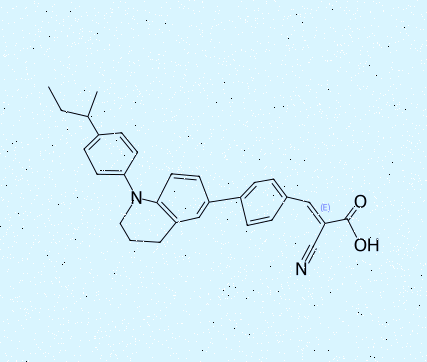 CCC(C)c1ccc(N2CCCc3cc(-c4ccc(/C=C(\C#N)C(=O)O)cc4)ccc32)cc1